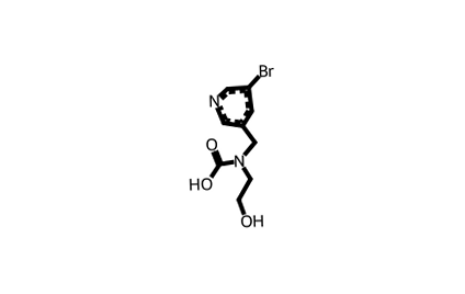 O=C(O)N(CCO)Cc1cncc(Br)c1